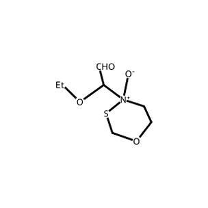 CCOC(C=O)[N+]1([O-])CCOCS1